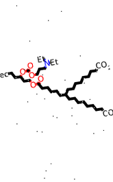 CCCCCCCCCCCCC(CCOC(=O)CCCCCC(CCCCCCCCC(=O)O)CCCCCCCCC(=O)O)OC(=O)OCCCN(CC)CC